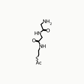 CC(=O)SCCNC(=O)CNC(=O)CN